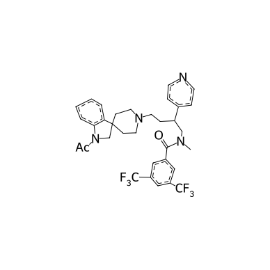 CC(=O)N1CC2(CCN(CCC(CN(C)C(=O)c3cc(C(F)(F)F)cc(C(F)(F)F)c3)c3ccncc3)CC2)c2ccccc21